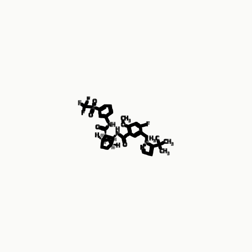 COc1cc(F)c(Cn2nccc2C(C)(C)C)cc1C(=O)N[C@@H]1[C@H]2CC[C@H](C2)[C@@H]1C(=O)Nc1cccc(S(=O)(=O)C(F)(F)F)c1